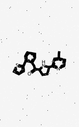 Cc1ccnc(C2CCC(C(=O)c3ccccc3-c3cccs3)N2)c1